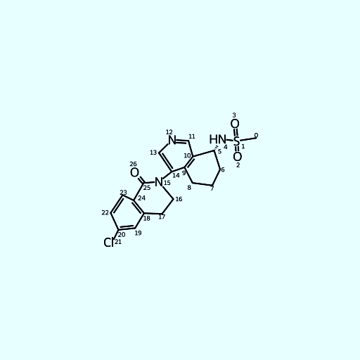 CS(=O)(=O)N[C@@H]1CCCc2c1cncc2N1CCc2cc(Cl)ccc2C1=O